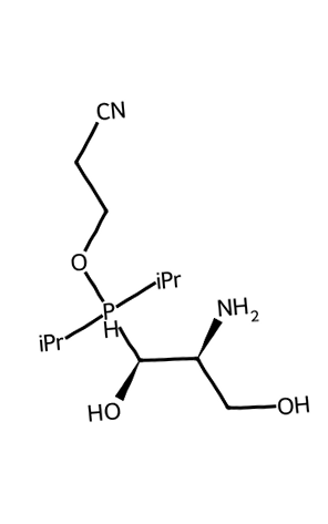 CC(C)[PH](OCCC#N)(C(C)C)[C@H](O)[C@@H](N)CO